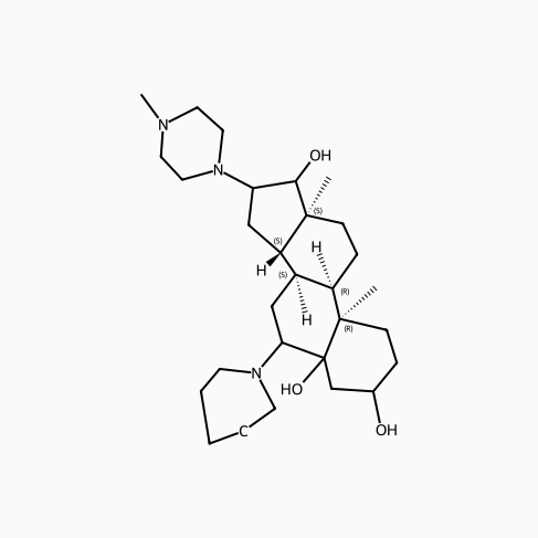 CN1CCN(C2C[C@H]3[C@@H]4CC(N5CCCCC5)C5(O)CC(O)CC[C@]5(C)[C@@H]4CC[C@]3(C)C2O)CC1